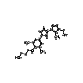 Cc1cc(-c2noc(-c3scc(CC(C)C)c3C)n2)cc(C)c1OCCCO